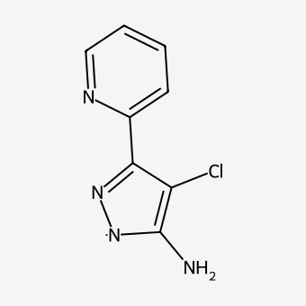 NC1=C(Cl)C(c2ccccn2)=N[N]1